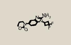 Nc1nc2cc(N3CCCOC3=O)ccc2n1C1CC(F)(F)C1